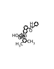 Cc1cc(C)cc(S(=O)(=O)N(CC(=O)O)c2ccc3c(C(=O)NCc4ccccc4)cccc3c2)c1